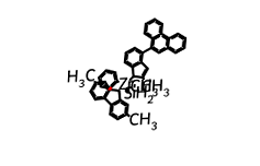 CC1=Cc2c(-c3cc4ccccc4c4ccccc34)cccc2[CH]1[Zr]([CH3])(=[SiH2])([c]1ccccc1)[CH]1c2cc(C)ccc2-c2ccc(C)cc21